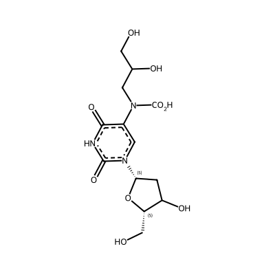 O=C(O)N(CC(O)CO)c1cn([C@@H]2CC(O)[C@H](CO)O2)c(=O)[nH]c1=O